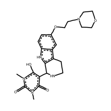 Cn1c(O)c(C2NCCc3c2[nH]c2ccc(OCCN4CCOCC4)cc32)c(=O)n(C)c1=O